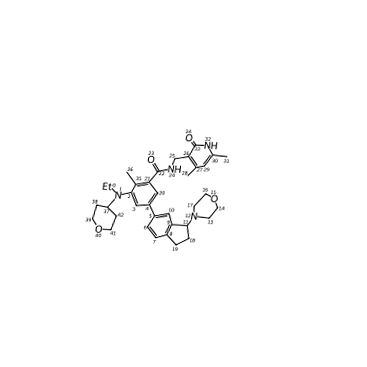 CCN(c1cc(-c2ccc3c(c2)C(N2CCOCC2)CC3)cc(C(=O)NCc2c(C)cc(C)[nH]c2=O)c1C)C1CCOCC1